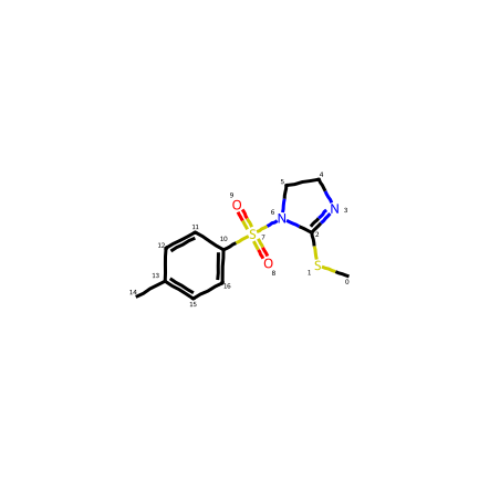 CSC1=NCCN1S(=O)(=O)c1ccc(C)cc1